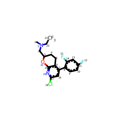 CN(CC1CCc2c(-c3ccc(F)cc3F)cc(Cl)nc2O1)CC(F)(F)F